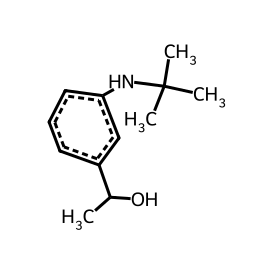 CC(O)c1cccc(NC(C)(C)C)c1